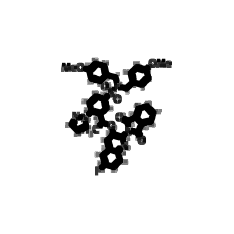 COc1ccc(CN(Cc2ccc(OC)cc2)S(=O)(=O)c2ccc(-n3cccn3)c(C(C)Oc3cc4cc(F)ccc4nc3N3C(=O)c4ccccc4C3=O)c2)cc1